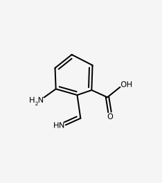 N=Cc1c(N)cccc1C(=O)O